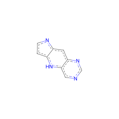 c1cc2[nH]c3cncnc3cc-2n1